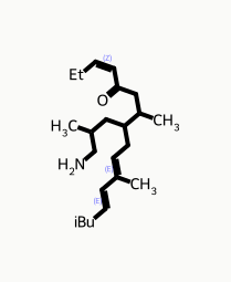 CC/C=C\C(=O)CC(C)C(C/C=C(C)/C=C/C(C)CC)CC(C)CN